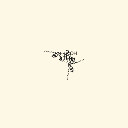 CCCCCCCCC(CN(CCCNC(=O)CC(C)(O)CC(=O)NCCCN(CC(CCCCCCCC)O[Si](C)(C)C(C)(C)C)CC(CCCCCCCC)O[Si](C)(C)C(C)(C)C)CC(CCCCCCCC)O[Si](C)(C)C(C)(C)C)O[Si](C)(C)C(C)(C)C